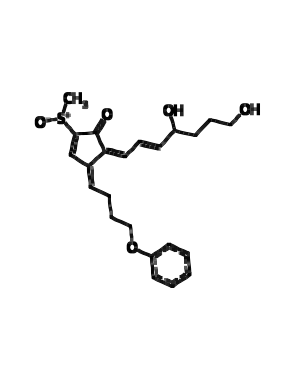 C[S+]([O-])C1=CC(=CCCCOc2ccccc2)C(=CC=CC(O)CCCO)C1=O